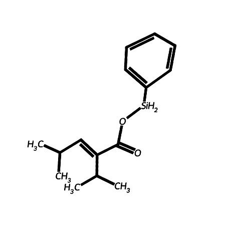 CC(C)C=C(C(=O)O[SiH2]c1ccccc1)C(C)C